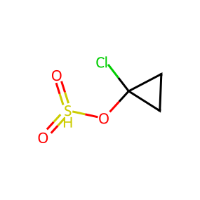 O=[SH](=O)OC1(Cl)CC1